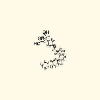 Cc1cc(OC2CCOCC2)ccc1-c1csc2ccc(COc3ccc(C4(CC(O)O)CC(O)C4)cc3)cc12